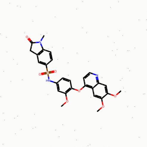 COc1cc2nccc(Oc3ccc(NS(=O)(=O)c4ccc5c(c4)CC(=O)N5C)cc3OC)c2cc1OC